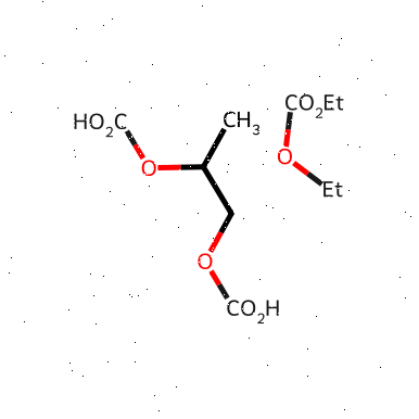 CC(COC(=O)O)OC(=O)O.CCOC(=O)OCC